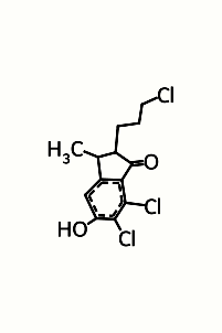 CC1c2cc(O)c(Cl)c(Cl)c2C(=O)C1CCCCl